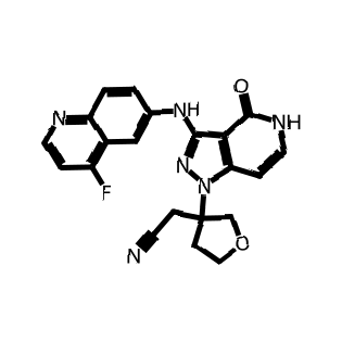 N#CCC1(n2nc(Nc3ccc4nccc(F)c4c3)c3c(=O)[nH]ccc32)CCOC1